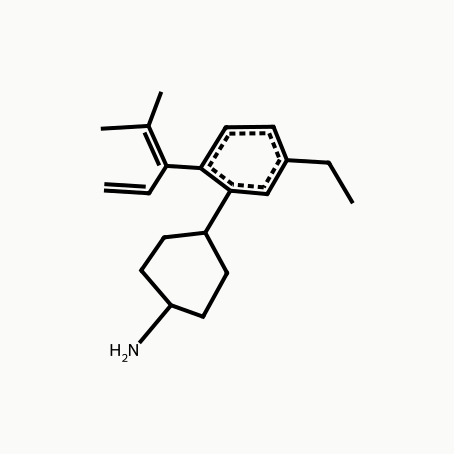 C=CC(=C(C)C)c1ccc(CC)cc1C1CCC(N)CC1